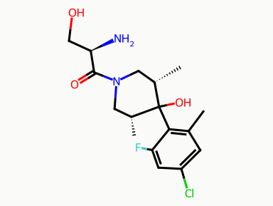 Cc1cc(Cl)cc(F)c1C1(O)[C@H](C)CN(C(=O)[C@H](N)CO)C[C@@H]1C